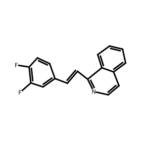 Fc1ccc(C=Cc2nccc3ccccc23)cc1F